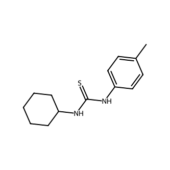 Cc1ccc(NC(=S)NC2CCCCC2)cc1